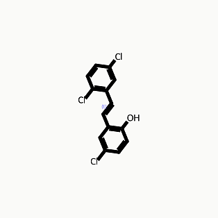 Oc1ccc(Cl)cc1/C=C/c1cc(Cl)ccc1Cl